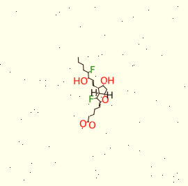 CCCCC(F)[C@H](O)C=C[C@@H]1[C@H]2C(F)C(=CCCCC(=O)OC)O[C@H]2C[C@H]1O